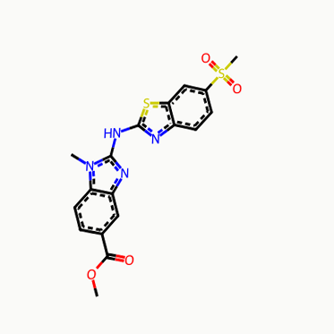 COC(=O)c1ccc2c(c1)nc(Nc1nc3ccc(S(C)(=O)=O)cc3s1)n2C